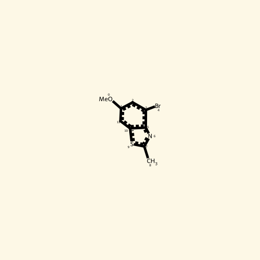 COc1cc(Br)c2nc(C)sc2c1